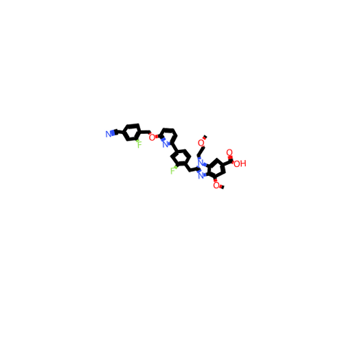 COCCn1c(Cc2ccc(-c3cccc(OCc4ccc(C#N)cc4F)n3)cc2F)nc2c(OC)cc(C(=O)O)cc21